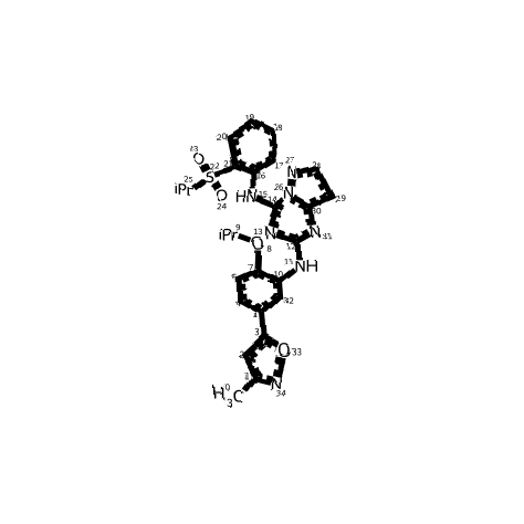 Cc1cc(-c2ccc(OC(C)C)c(Nc3nc(Nc4ccccc4S(=O)(=O)C(C)C)n4nccc4n3)c2)on1